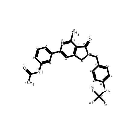 CC(=O)Nc1cccc(-c2cc3c(c(C)n2)C(=O)N(Cc2ccc(OC(F)(F)F)cc2)C3)c1